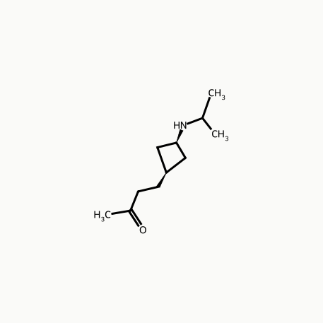 CC(=O)CC[C@H]1C[C@@H](NC(C)C)C1